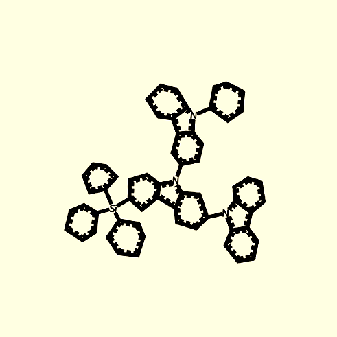 c1ccc(-n2c3ccccc3c3cc(-n4c5ccc([Si](c6ccccc6)(c6ccccc6)c6ccccc6)cc5c5ccc(-n6c7ccccc7c7ccccc76)cc54)ccc32)cc1